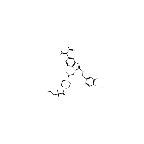 COc1ccc(CCc2nc3cc(/C(C(C)=N)=C(\C)O)ccc3n2CC(C)N2CCN(C(=O)C(C)(C)CCC=O)CC2)cc1Cl